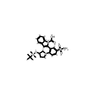 CC(C)(C)[Si](C)(C)OC1CCN(c2ccc(S(N)(=O)=O)cc2-c2cc3ccccc3n2C(=O)O)C1